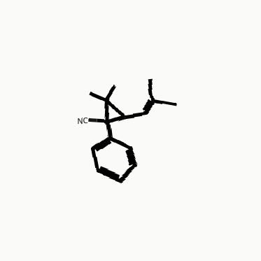 CC(C)=CC1C(C)(C)C1(C#N)c1ccccc1